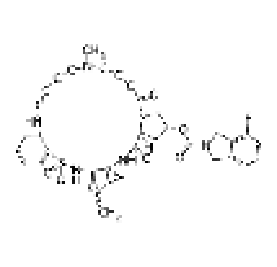 C=C[C@@H]1C[C@@]12NC(=O)[C@@H]1C[C@@H](OC(=O)N3Cc4cccc(F)c4C3)CN1C(=O)CCCN(C)CCCCNc1ccccc1S(=O)(=O)NC2=O